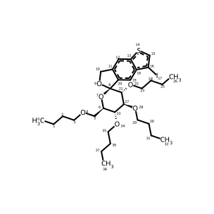 CCCCOC[C@H]1O[C@]2(OCc3cc4scc(I)c4cc32)[C@H](OCCCC)[C@@H](OCCCC)[C@@H]1OCCCC